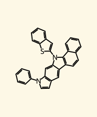 c1ccc(-n2ccc3cc4c5ccc6ccccc6c5n(-c5cc6ccccc6s5)c4cc32)cc1